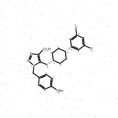 CCOC(=O)c1nnn(Cc2ccc(OC)cc2)c1S[C@H]1CC[C@@H](c2cc(Cl)cc(Cl)c2)CC1